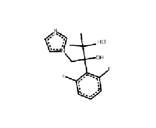 CC(C)(C)C(O)(Cn1ccnc1)c1c(F)cccc1F.Cl